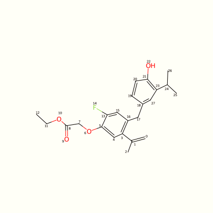 C=C(C)c1cc(OCC(=O)OCC)c(F)cc1Cc1ccc(O)c(C(C)C)c1